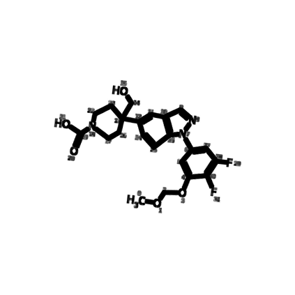 COCOc1cc(-n2ncc3cc(C4(CO)CCN(C(=O)O)CC4)ccc32)cc(F)c1F